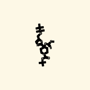 CSC(=S)OC1(c2ncc(CO[Si](C)(C)C(C)(C)C)s2)CCN(C(=O)OC(C)(C)C)CC1